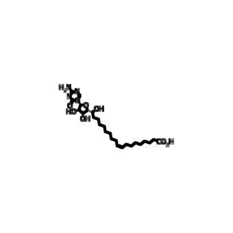 Nc1ncn([C@@H]2O[C@H](C(O)CCCCCCCC/C=C\CCCCCCCC(=O)O)[C@@H](O)[C@H]2O)c(=O)n1